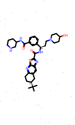 CC(C)(C)[C@H]1CCc2nc3sc(C(=O)N[C@H](CCN4CCC(O)CC4)c4cccc(C(=O)NC5CCCNC5)c4)nc3cc2C1